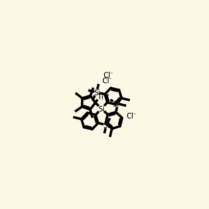 CC1=C(C)[C]([Ti+3])([Si](c2cc(C)ccc2[Si](C)(C)C)(c2cc(C)ccc2[Si](C)(C)C)c2cc(C)ccc2[Si](C)(C)C)C(C)=C1C.[Cl-].[Cl-].[Cl-]